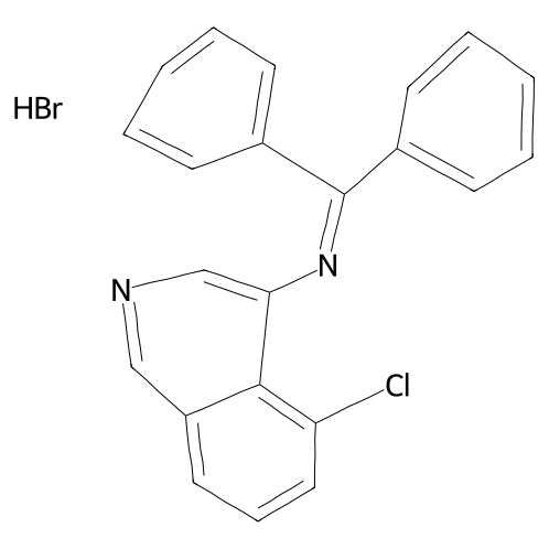 Br.Clc1cccc2cncc(N=C(c3ccccc3)c3ccccc3)c12